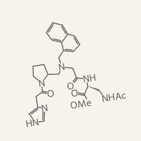 COC(=O)[C@H](CNC(C)=O)NC(=O)CN(Cc1cccc2ccccc12)CC1CCCN1C(=O)Cc1c[nH]cn1